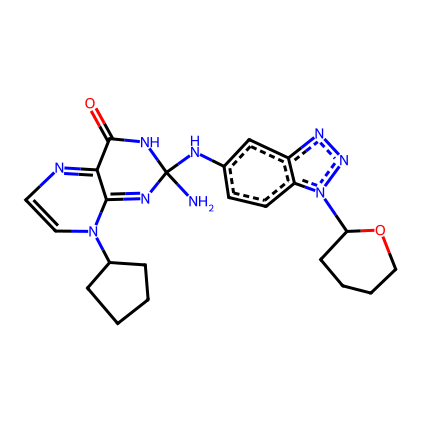 NC1(Nc2ccc3c(c2)nnn3C2CCCCO2)N=C2C(=NC=CN2C2CCCC2)C(=O)N1